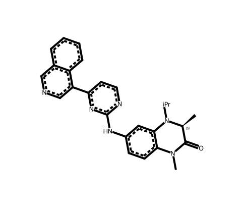 CC(C)N1c2cc(Nc3nccc(-c4cncc5ccccc45)n3)ccc2N(C)C(=O)[C@@H]1C